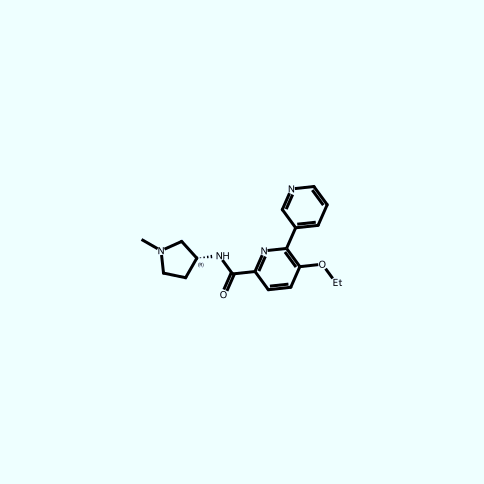 CCOc1ccc(C(=O)N[C@@H]2CCN(C)C2)nc1-c1cccnc1